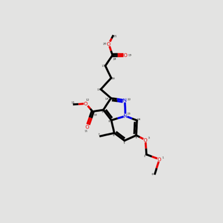 COCOc1cc(C)c2c(C(=O)OC)c(CCCC(=O)OC)nn2c1